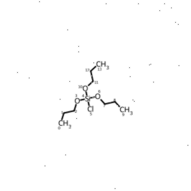 CCCO[Si](Cl)(OCCC)OCCC